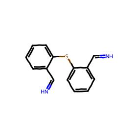 N=Cc1ccccc1Sc1ccccc1C=N